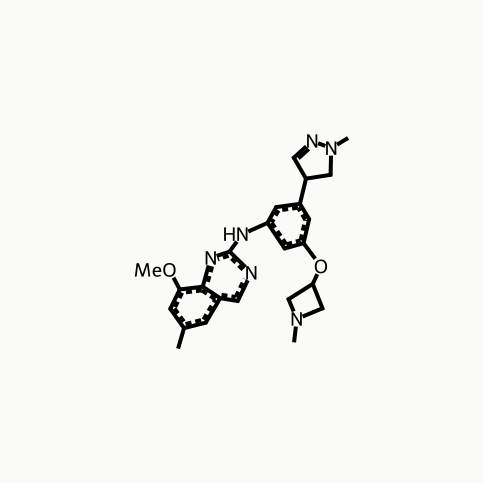 COc1cc(C)cc2cnc(Nc3cc(OC4CN(C)C4)cc(C4C=NN(C)C4)c3)nc12